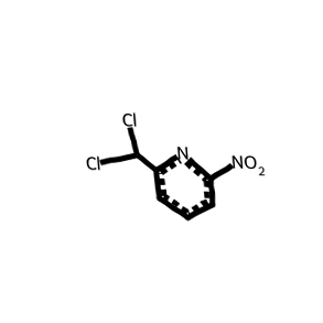 O=[N+]([O-])c1cccc(C(Cl)Cl)n1